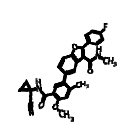 CNC(=O)c1c(-c2ccc(F)cc2)oc2ccc(-c3cc(C(=O)NC4(C#N)CC4)c(OC)cc3C)cc12